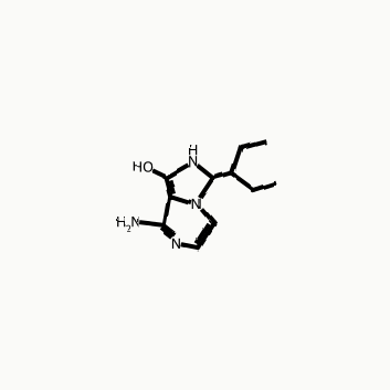 CCC(CC)C1NC(O)=C2C(N)=NC=CN21